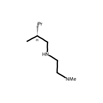 CNCCNC[C@H](C)C(C)C